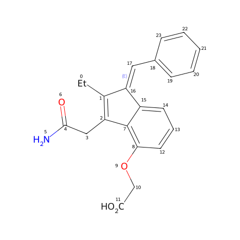 CCC1=C(CC(N)=O)c2c(OCC(=O)O)cccc2/C1=C\c1ccccc1